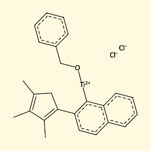 CC1=C(C)C(C)=C(c2ccc3ccccc3[c]2[Ti+2][O]Cc2ccccc2)C1.[Cl-].[Cl-]